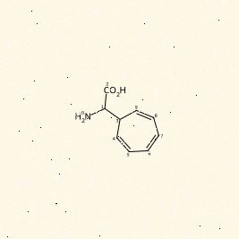 NC(C(=O)O)C1C=CC=CC=C1